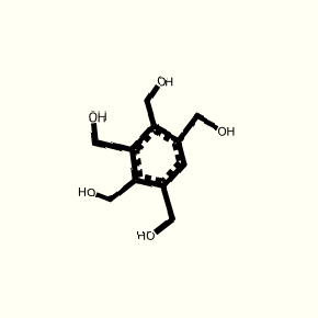 OCc1cc(CO)c(CO)c(CO)c1CO